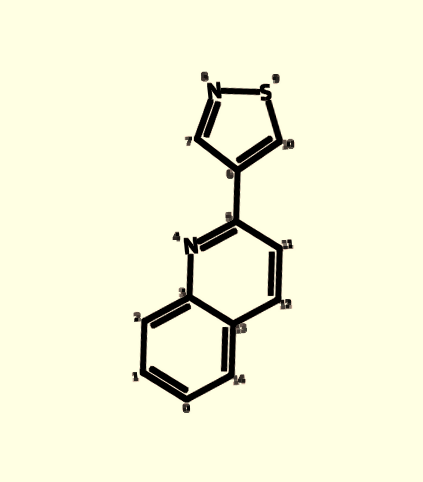 c1ccc2nc(-c3cnsc3)ccc2c1